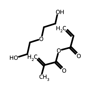 C=CC(=O)OC(=O)C(=C)C.OCCOCCO